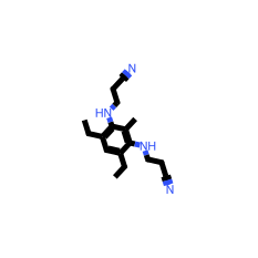 CCc1cc(CC)c(NCCC#N)c(C)c1NCCC#N